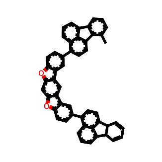 Cc1cccc2c1-c1ccc(-c3ccc4oc5cc6oc7ccc(-c8ccc9c%10c(cccc8%10)C8C=CC=CC98)cc7c6cc5c4c3)c3cccc-2c13